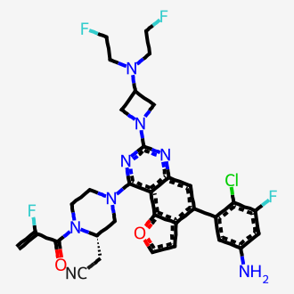 C=C(F)C(=O)N1CCN(c2nc(N3CC(N(CCF)CCF)C3)nc3cc(-c4cc(N)cc(F)c4Cl)c4ccoc4c23)C[C@@H]1CC#N